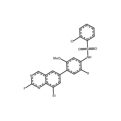 CCc1cc(-c2cc(F)c(NS(=O)(=O)c3ccccc3Cl)cc2OC)cc2cnc(F)nc12